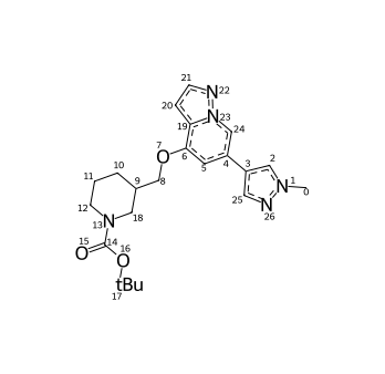 Cn1cc(-c2cc(OCC3CCCN(C(=O)OC(C)(C)C)C3)c3ccnn3c2)cn1